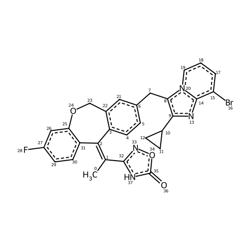 C/C(=C1/c2ccc(Cc3c(C4CC4)nc4c(Br)cccn34)cc2COc2cc(F)ccc21)c1noc(=O)[nH]1